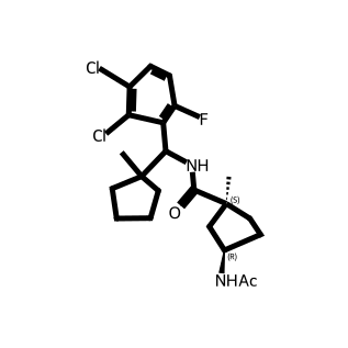 CC(=O)N[C@@H]1CC[C@](C)(C(=O)NC(c2c(F)ccc(Cl)c2Cl)C2(C)CCCC2)C1